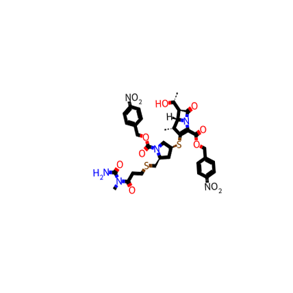 C[C@@H](O)[C@H]1C(=O)N2C(C(=O)OCc3ccc([N+](=O)[O-])cc3)=C(S[C@H]3C[C@@H](CSCCC(=O)N(C)C(N)=O)N(C(=O)OCc4ccc([N+](=O)[O-])cc4)C3)[C@H](C)[C@H]12